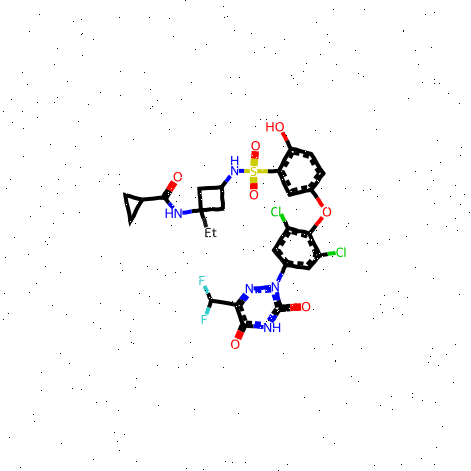 CCC1(NC(=O)C2CC2)CC(NS(=O)(=O)c2cc(Oc3c(Cl)cc(-n4nc(C(F)F)c(=O)[nH]c4=O)cc3Cl)ccc2O)C1